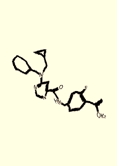 C=C(OC)c1ccc(NC(=O)c2cc(N(CC3CC3)C3CCCCC3)ncn2)cc1F